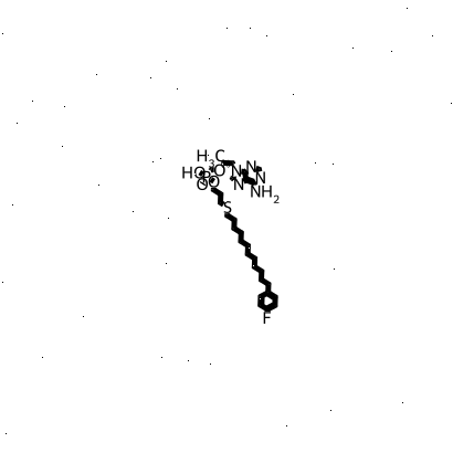 C[C@H](Cn1cnc2c(N)ncnc21)OCP(=O)(O)OCCCSCCCCCCCCCCCCc1ccc(F)cc1